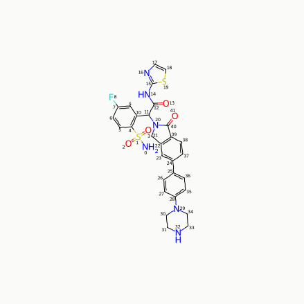 NS(=O)(=O)c1ccc(F)cc1C(C(=O)Nc1nccs1)N1Cc2cc(-c3ccc(N4CCNCC4)cc3)ccc2C1=O